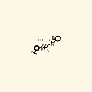 CC(C)(CCNC(=O)CC1(N)CCCCC1)S(=O)(=O)c1cccc(C(F)(F)F)c1.Cl